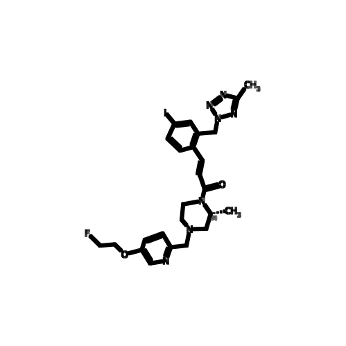 Cc1nnn(Cc2cc(I)ccc2C=CC(=O)N2CCN(Cc3ccc(OCCF)cn3)C[C@H]2C)n1